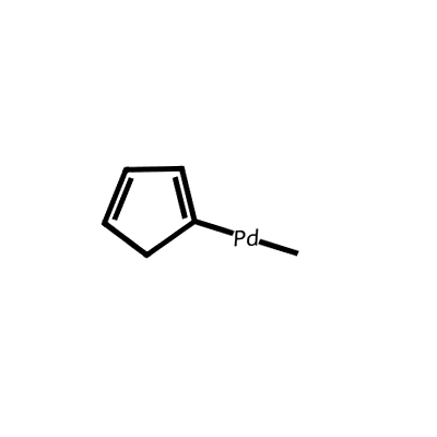 [CH3][Pd][C]1=CC=CC1